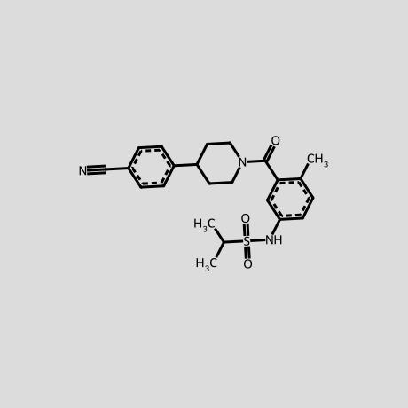 Cc1ccc(NS(=O)(=O)C(C)C)cc1C(=O)N1CCC(c2ccc(C#N)cc2)CC1